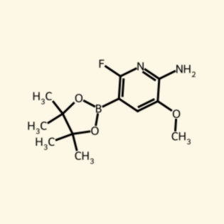 COc1cc(B2OC(C)(C)C(C)(C)O2)c(F)nc1N